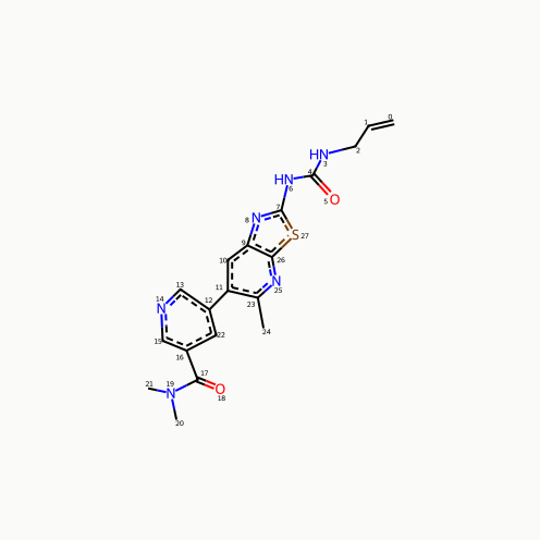 C=CCNC(=O)Nc1nc2cc(-c3cncc(C(=O)N(C)C)c3)c(C)nc2s1